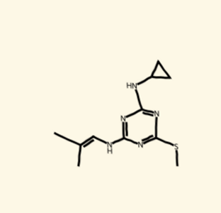 CSc1nc(NC=C(C)C)nc(NC2CC2)n1